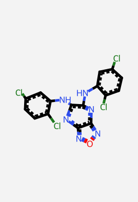 Clc1ccc(Cl)c(Nc2nc3nonc3nc2Nc2cc(Cl)ccc2Cl)c1